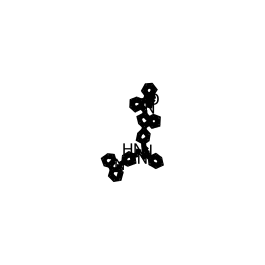 C1=CC2C3=C(C=CCC3)N(c3ccc(C4N=C(c5ccccc5)N=C(C5=CC=C(C6=c7ccccc7=C(c7nc8oc9ccccc9c8c8ccccc78)CC6)CC5)N4)cc3)C2C=C1